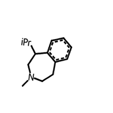 CC(C)C1CN(C)CCc2ccccc21